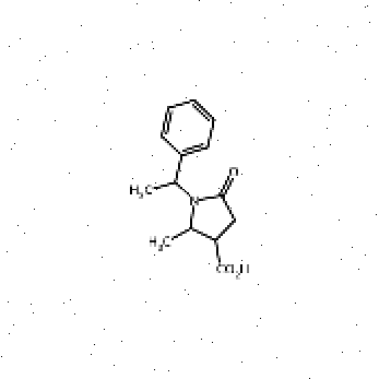 CC(c1ccccc1)N1C(=O)CC(C(=O)O)C1C